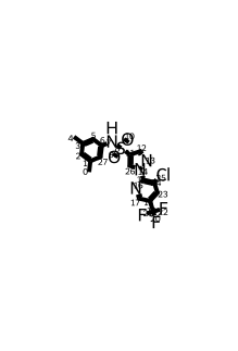 Cc1cc(C)cc(NS(=O)(=O)c2cnn(-c3ncc(C(F)(F)F)cc3Cl)c2)c1